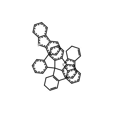 C1=CC(c2cccc3c4c(sc23)CCC=C4)=C(C2(c3ccccc3-c3cccc4c3sc3ccccc34)c3ccccc3-c3ccccc32)CC1